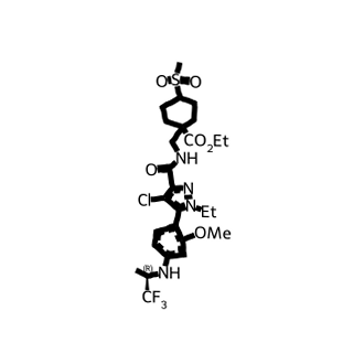 CCOC(=O)C1(CNC(=O)c2nn(CC)c(-c3ccc(N[C@H](C)C(F)(F)F)cc3OC)c2Cl)CCC(S(C)(=O)=O)CC1